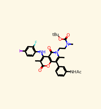 CC(=O)Nc1cccc(-c2c(C)n(CCN(C)C(=O)OC(C)(C)C)c(=O)c3c(Nc4ccc(I)cc4F)c(C)c(=O)oc23)c1